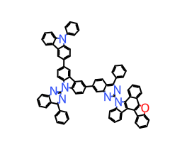 c1ccc(-c2nc(-n3c4ccc(-c5ccc6c(-c7ccccc7)nc(-n7c8ccccc8c8c9c%10ccccc%10oc9c9ccccc9c87)nc6c5)cc4c4cc(-c5ccc6c(c5)c5ccccc5n6-c5ccccc5)ccc43)nc3ccccc23)cc1